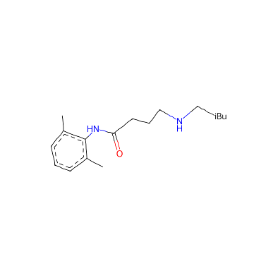 CCC(C)CNCCCC(=O)Nc1c(C)cccc1C